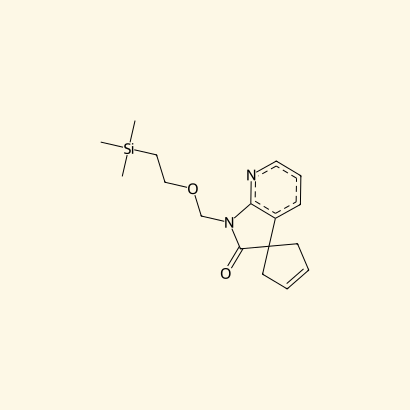 C[Si](C)(C)CCOCN1C(=O)C2(CC=CC2)c2cccnc21